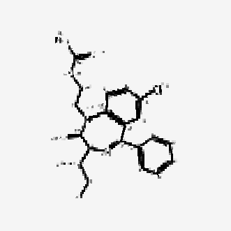 CC[C@H](C)C1N=C(c2ccccc2)c2cc(Cl)ccc2N(CCNC(=O)O)C1=O